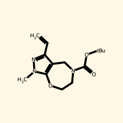 C=Cc1nn(C)c2c1CN(C(=O)OC(C)(C)C)CCO2